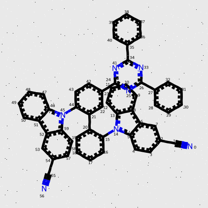 N#Cc1ccc2c(c1)c1ccccc1n2-c1ccccc1-c1cc(-c2nc(-c3ccccc3)nc(-c3ccccc3)n2)ccc1-n1c2ccccc2c2cc(C#N)ccc21